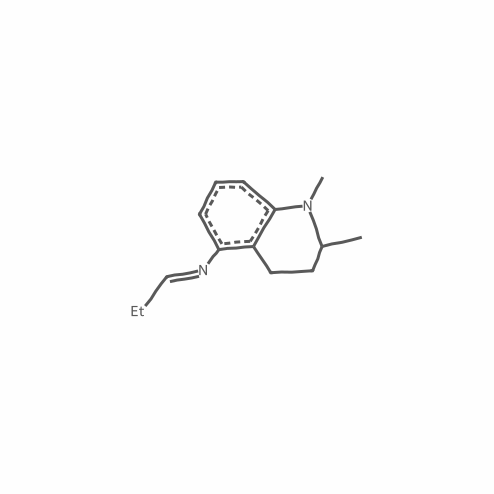 CC/C=N/c1cccc2c1CCC(C)N2C